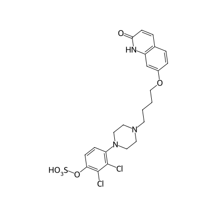 O=c1ccc2ccc(OCCCCN3CCN(c4ccc(OS(=O)(=O)O)c(Cl)c4Cl)CC3)cc2[nH]1